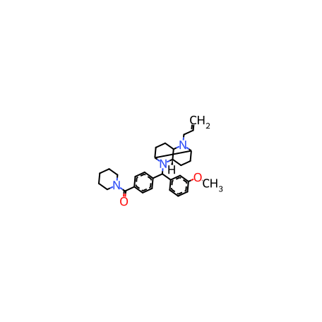 C=CCN1C2CC[C@H]3C1CCC2N3C(c1ccc(C(=O)N2CCCCC2)cc1)c1cccc(OC)c1